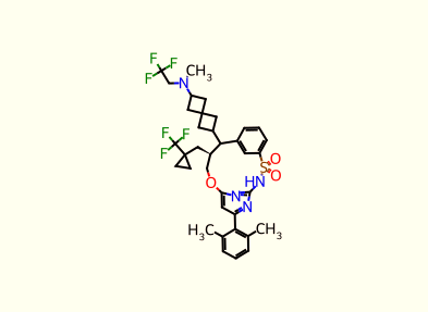 Cc1cccc(C)c1-c1cc2nc(n1)NS(=O)(=O)c1cccc(c1)C(C1CC3(C1)CC(N(C)CC(F)(F)F)C3)[C@H](CC1(C(F)(F)F)CC1)CO2